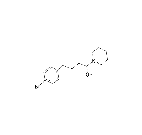 OC(CCCc1ccc(Br)cc1)N1CCCCC1